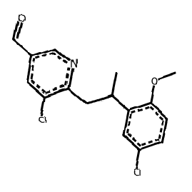 COc1ccc(Cl)cc1C(C)Cc1ncc(C=O)cc1Cl